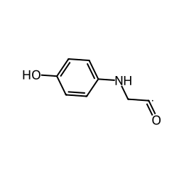 O=[C]CNc1ccc(O)cc1